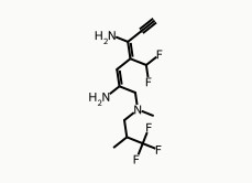 C#C/C(N)=C(/C=C(/N)CN(C)CC(C)C(F)(F)F)C(F)F